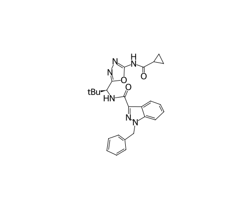 CC(C)(C)[C@H](NC(=O)c1nn(Cc2ccccc2)c2ccccc12)c1nnc(NC(=O)C2CC2)o1